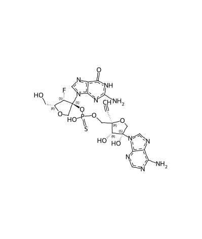 C#C[C@]1(COP(O)(=S)O[C@@]2(n3cnc4c(=O)[nH]c(N)nc43)CO[C@H](CO)[C@@H]2F)OC[C@@](O)(n2cnc3c(N)ncnc32)[C@@H]1O